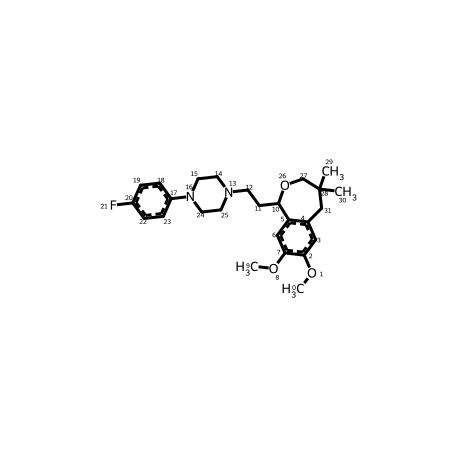 COc1cc2c(cc1OC)C(CCN1CCN(c3ccc(F)cc3)CC1)OCC(C)(C)C2